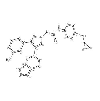 Cc1cccc(-n2nc(CC(=O)Nc3ccc(NC4CC4)cc3)cc2-c2ccc3ncsc3c2)n1